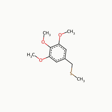 COc1cc(CSC)cc(OC)c1OC